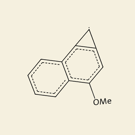 COc1cc2c(c3ccccc13)[CH]2